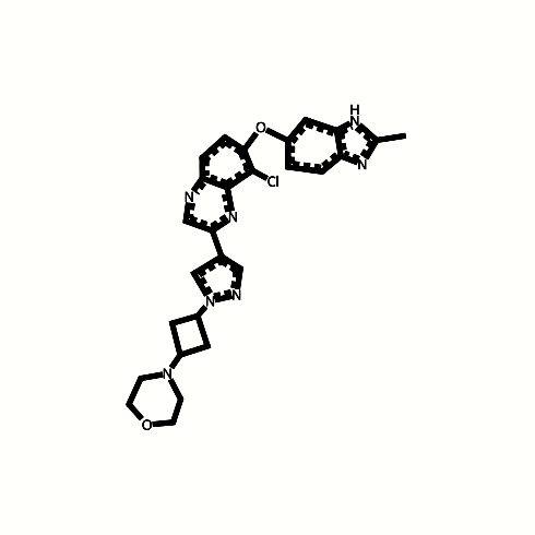 Cc1nc2ccc(Oc3ccc4ncc(-c5cnn(C6CC(N7CCOCC7)C6)c5)nc4c3Cl)cc2[nH]1